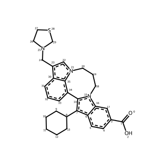 O=C(O)c1ccc2c(C3CCCCC3)c3n(c2c1)CCCn1cc(CN2CCSC2)c2cccc-3c21